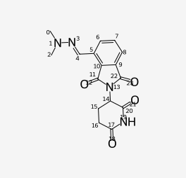 CN(C)/N=C/c1cccc2c1C(=O)N(C1CCC(=O)NC1=O)C2=O